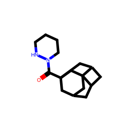 O=C(N1CCCCN1)C12CC3CC4CC(C1)C4(C3)C2